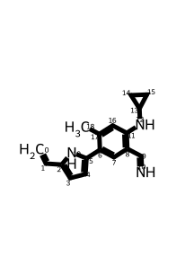 C=Cc1ccc(-c2cc(C=N)c(NC3CC3)cc2C)[nH]1